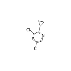 Clc1[c]c(Cl)c(C2CC2)nc1